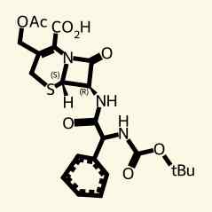 CC(=O)OCC1=C(C(=O)O)N2C(=O)[C@@H](NC(=O)C(NC(=O)OC(C)(C)C)c3ccccc3)[C@@H]2SC1